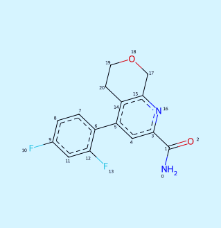 NC(=O)c1cc(-c2ccc(F)cc2F)c2c(n1)COCC2